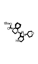 CC(C)(C)OC(=O)N1CCN(c2nn(C3CCOCC3)c3c2CNCC3)c2ccccc21